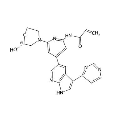 C=CC(=O)Nc1cc(-c2cnc3[nH]cc(-c4ccncn4)c3c2)cc(N2CCC[C@@H](O)C2)n1